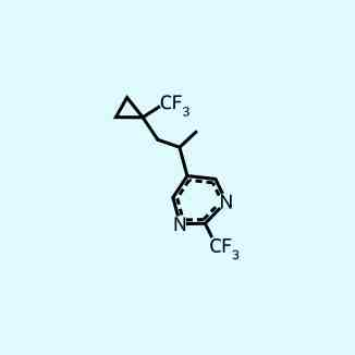 CC(CC1(C(F)(F)F)CC1)c1cnc(C(F)(F)F)nc1